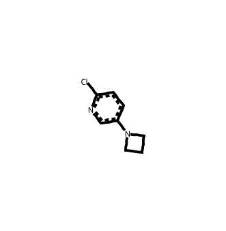 Clc1ccc(N2CCC2)cn1